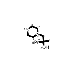 CCCC(C)(O)CN1CCSCC1